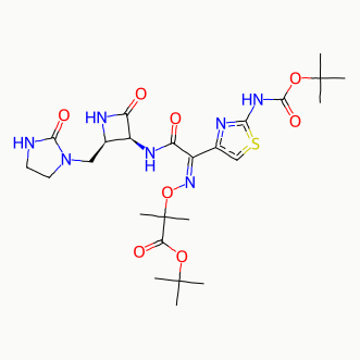 CC(C)(C)OC(=O)Nc1nc(/C(=N/OC(C)(C)C(=O)OC(C)(C)C)C(=O)N[C@@H]2C(=O)N[C@@H]2CN2CCNC2=O)cs1